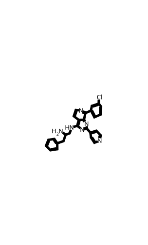 NC(CNc1nc(-c2ccncc2)nc2c(-c3cccc(Cl)c3)nccc12)Cc1ccccc1